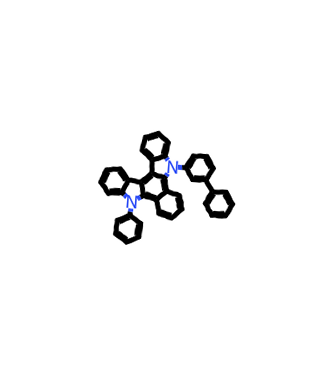 c1ccc(-c2cccc(-n3c4ccccc4c4c5c6ccccc6n(-c6ccccc6)c5c5ccccc5c43)c2)cc1